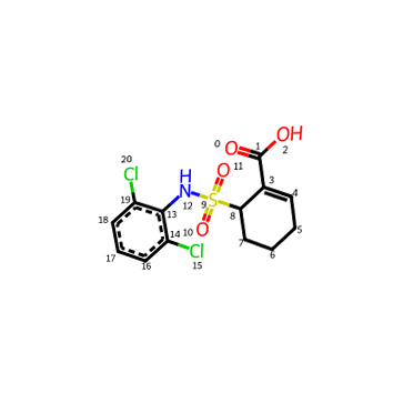 O=C(O)C1=CCCCC1S(=O)(=O)Nc1c(Cl)cccc1Cl